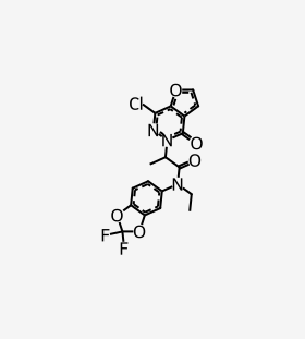 CCN(C(=O)C(C)n1nc(Cl)c2occc2c1=O)c1ccc2c(c1)OC(F)(F)O2